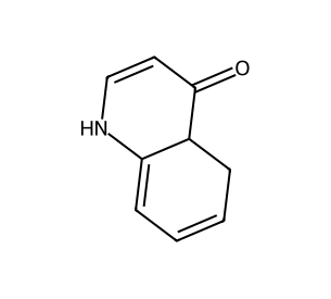 O=C1C=CNC2=CC=CCC12